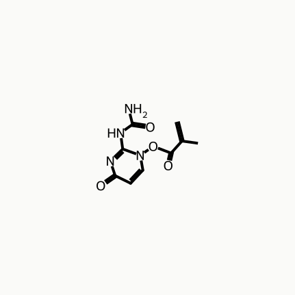 C=C(C)C(=O)On1ccc(=O)nc1NC(N)=O